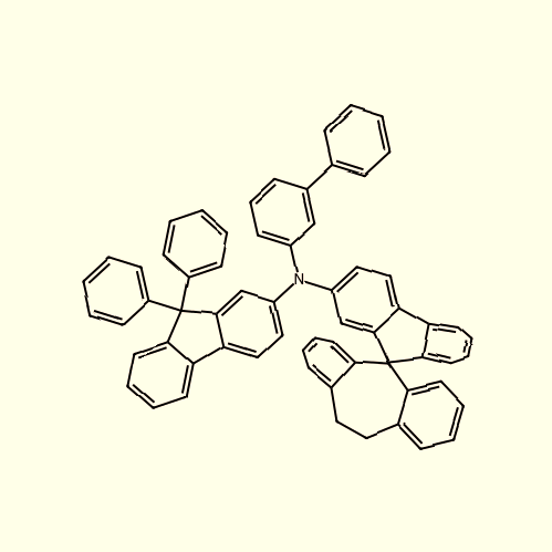 c1ccc(-c2cccc(N(c3ccc4c(c3)C(c3ccccc3)(c3ccccc3)c3ccccc3-4)c3ccc4c(c3)C3(c5ccccc5CCc5ccccc53)c3ccccc3-4)c2)cc1